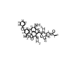 C=CC(=O)N1C[C@H](NC(=O)c2sc3c(N)ccc4c3c2C(N)C(=O)C4(N)c2ccc(Oc3ccccc3)cc2C)[C@H](OC)C1